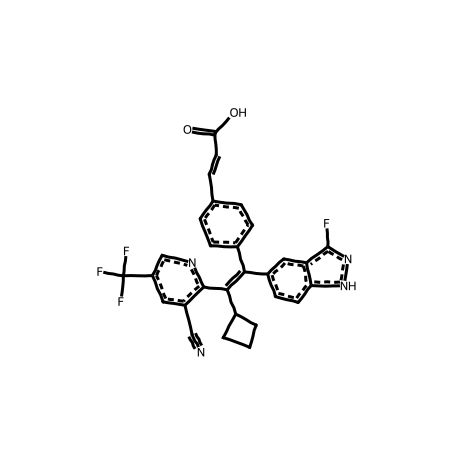 N#Cc1cc(C(F)(F)F)cnc1C(=C(c1ccc(C=CC(=O)O)cc1)c1ccc2[nH]nc(F)c2c1)C1CCC1